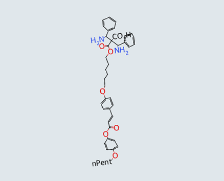 CCCCCOc1ccc(OC(=O)C=Cc2ccc(OCCCCCCOC(=O)C(C(=O)O)(C(N)c3ccccc3)C(N)c3ccccc3)cc2)cc1